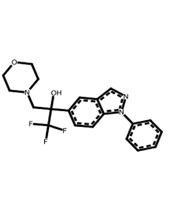 OC(CN1CCOCC1)(c1ccc2c(cnn2-c2ccccc2)c1)C(F)(F)F